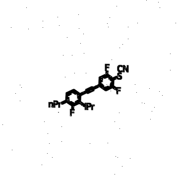 CCCc1ccc(C#Cc2cc(F)c(SC#N)c(F)c2)c(C(C)C)c1F